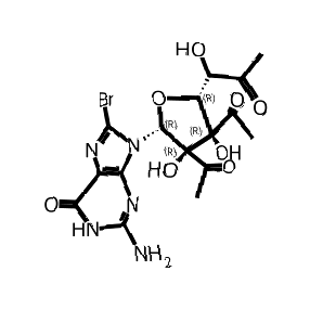 CC(=O)C(O)[C@H]1O[C@@H](n2c(Br)nc3c(=O)[nH]c(N)nc32)[C@@](O)(C(C)=O)[C@@]1(O)C(C)=O